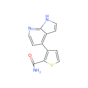 NC(=O)c1sccc1-c1ccnc2[nH]ccc12